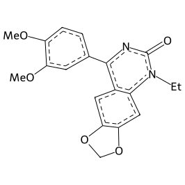 CCn1c(=O)nc(-c2ccc(OC)c(OC)c2)c2cc3c(cc21)OCO3